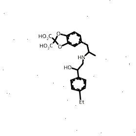 CCc1ccc(C(O)CNC(C)Cc2ccc3c(c2)OC(C(=O)O)(C(=O)O)O3)cc1